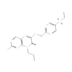 CC[C@H](C)n1c(=O)c(NCc2ncc(S(=O)(=O)CC)cn2)nc2cnc(Cl)nc21